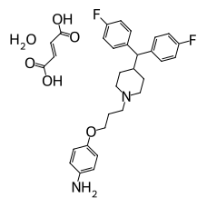 Nc1ccc(OCCCN2CCC(C(c3ccc(F)cc3)c3ccc(F)cc3)CC2)cc1.O.O=C(O)C=CC(=O)O